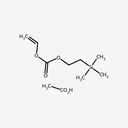 C=COC(=O)OCC[Si](C)(C)C.CC(=O)O